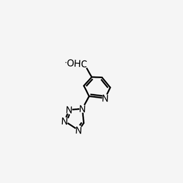 O=[C]c1ccnc(-n2cnnn2)c1